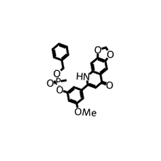 COc1cc(OP(C)(=O)OCc2ccccc2)cc(-c2cc(=O)c3cc4c(cc3[nH]2)OCO4)c1